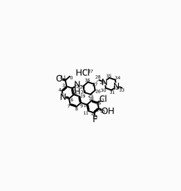 CC(=O)c1cnc2ccc(-c3cc(F)c(O)c(Cl)c3)cc2c1N[C@H]1CCC[C@@H](CN2CCN(C)CC2)C1.Cl